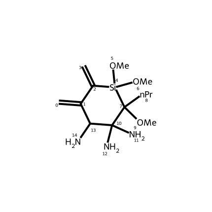 C=C1C(=C)[Si](OC)(OC)C(CCC)(OC)C(N)(N)C1N